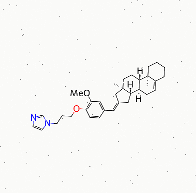 COc1cc(C=C2C[C@H]3[C@@H]4CC=C5CCCC[C@]5(C)[C@H]4CC[C@]3(C)C2)ccc1OCCCn1ccnc1